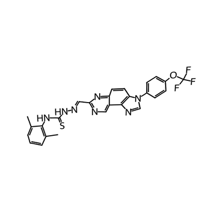 Cc1cccc(C)c1NC(=S)N/N=C/c1ncc2c(ccc3c2ncn3-c2ccc(OC(F)(F)F)cc2)n1